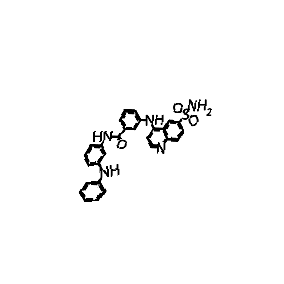 NS(=O)(=O)c1ccc2nccc(Nc3cccc(C(=O)Nc4cccc(Nc5ccccc5)c4)c3)c2c1